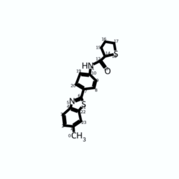 Cc1ccc2nc(-c3ccc(NC(=O)C4CCCS4)cc3)sc2c1